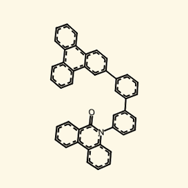 O=c1c2ccccc2c2ccccc2n1-c1cccc(-c2cccc(-c3ccc4c5ccccc5c5ccccc5c4c3)c2)c1